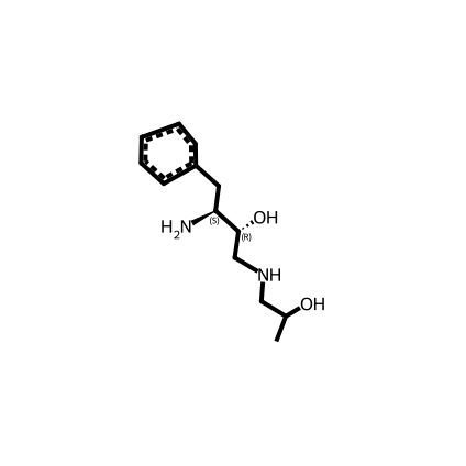 CC(O)CNC[C@@H](O)[C@@H](N)Cc1ccccc1